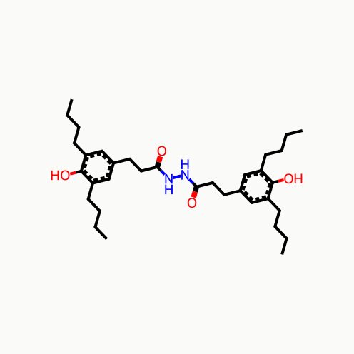 CCCCc1cc(CCC(=O)NNC(=O)CCc2cc(CCCC)c(O)c(CCCC)c2)cc(CCCC)c1O